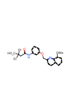 CCC(CC)(CC(=O)Nc1cccc(OCc2ccc3cccc(OC)c3n2)c1)C(=O)O